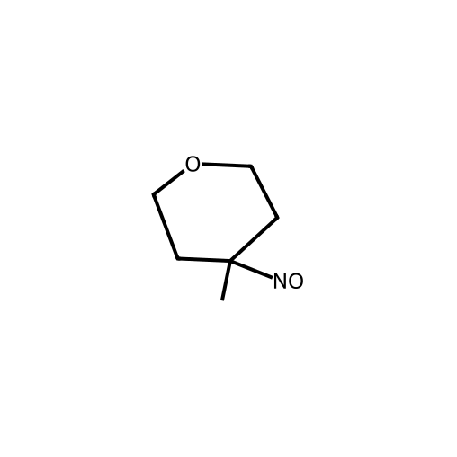 CC1(N=O)CCOCC1